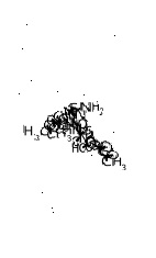 CC(=O)CC(=O)OCC1=C(C(=O)O)N2C(=O)C(NC(=O)C(=NOC(C)(C)C(=O)OC(C)(C)C)c3nsc(N)n3)[C@@H]2SC1